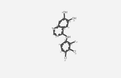 Oc1cc2ncnc(Nc3ccc(Cl)c(Cl)c3F)c2cc1O